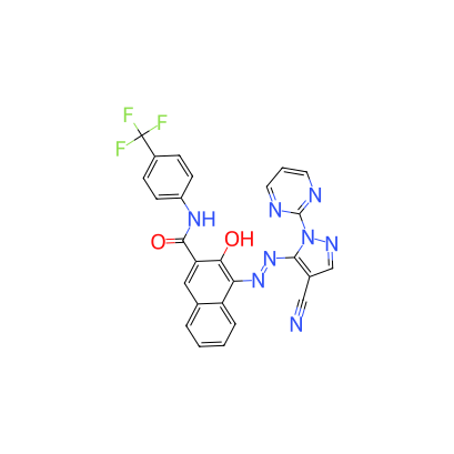 N#Cc1cnn(-c2ncccn2)c1/N=N/c1c(O)c(C(=O)Nc2ccc(C(F)(F)F)cc2)cc2ccccc12